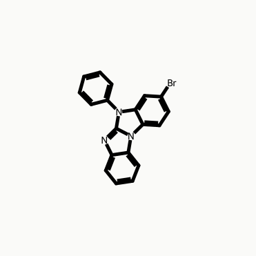 Brc1ccc2c(c1)n(-c1ccccc1)c1nc3ccccc3n21